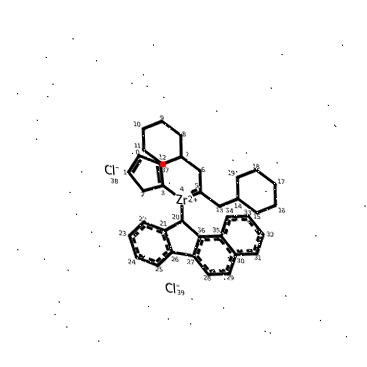 C1=CC[C]([Zr+2](=[C](CC2CCCCC2)CC2CCCCC2)[CH]2c3ccccc3-c3ccc4ccccc4c32)=C1.[Cl-].[Cl-]